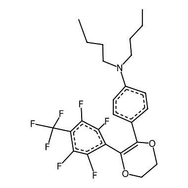 CCCCN(CCCC)c1ccc(C2=C(c3c(F)c(F)c(C(F)(F)F)c(F)c3F)OCCO2)cc1